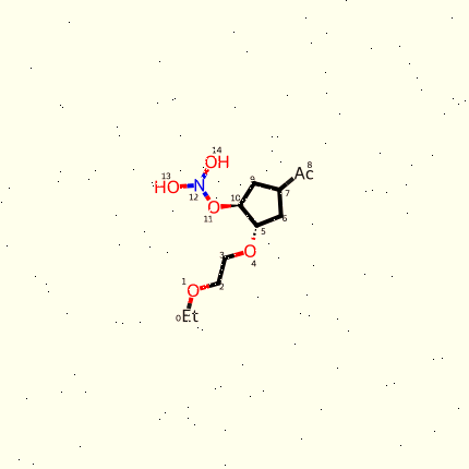 CCOCCO[C@H]1CC(C(C)=O)C[C@@H]1ON(O)O